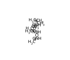 C=CC(=O)Nc1ccc(Bc2nn(C)c3c2CN(C(=O)NC(C)CN(C)C)C3(C)C)cc1